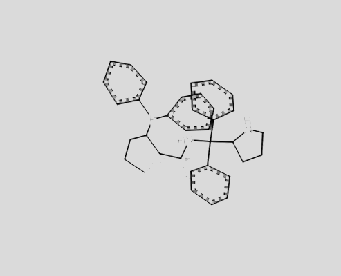 C[C@@H](NC(c1ccccc1)(c1ccccc1)C1CCCN1)[C@@H]1CCCC1P(c1ccccc1)c1ccccc1